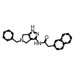 O=C(Cc1ccc2ccccc2c1)Nc1n[nH]c2c1CN(Cc1ccccc1)C2